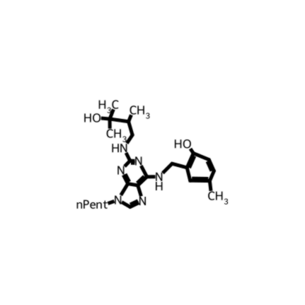 CCCCCn1cnc2c(NCc3cc(C)ccc3O)nc(NCC(C)C(C)(C)O)nc21